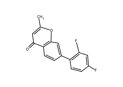 Cc1cc(=O)c2ccc(-c3ccc(F)cc3F)cc2o1